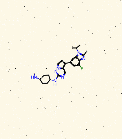 CN[C@H]1CC[C@@H](Nc2ncc3c(-c4cc(F)c5nc(C)n(C(C)C)c5c4)ccn3n2)CC1